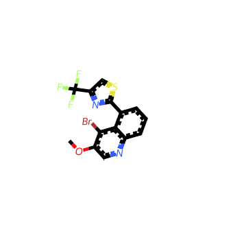 COc1[c]nc2cccc(-c3nc(C(F)(F)F)cs3)c2c1Br